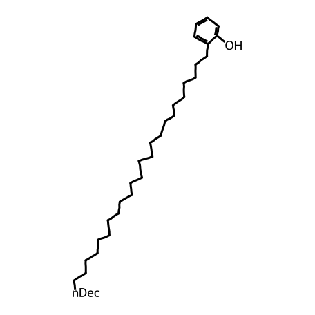 CCCCCCCCCCCCCCCCCCCCCCCCCCCCCCCCCCc1ccccc1O